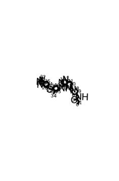 C=CC(=O)NC1CCN(c2ccc3ncnc(Nc4ccc(Oc5ccc6c(c5)nnn6C)c(C)c4)c3n2)CC1